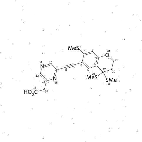 CSc1cc2c(cc1C#Cc1cncc(CC(=O)O)n1)C(SC)(SC)CCO2